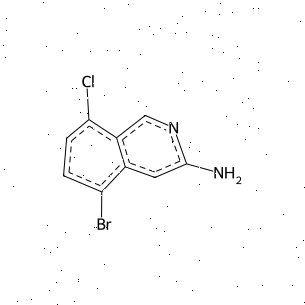 Nc1cc2c(Br)ccc(Cl)c2cn1